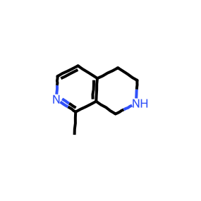 Cc1nccc2c1CNCC2